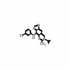 Cc1nc2c(Nc3cccc(Cl)c3)c3ncnc3cc2cn1C1CC1